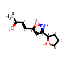 CC(=O)C=Cc1cc(C2CCCO2)no1